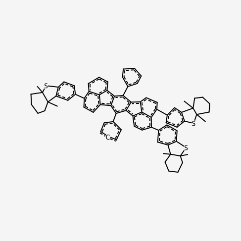 CC12CCCCC1(C)c1cc(-c3ccc4c5c(-c6ccccc6)c6c7ccc(-c8ccc9c(c8)C8(C)CCCCC8(C)S9)c8c(-c9ccc%10c(c9)C9(C)CCCCC9(C)S%10)ccc(c6c(-c6ccccc6)c5c5cccc3c54)c87)ccc1S2